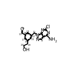 Nc1nc(Cl)nc2c1cnn2Cc1cc(C=O)cc(CCO)c1